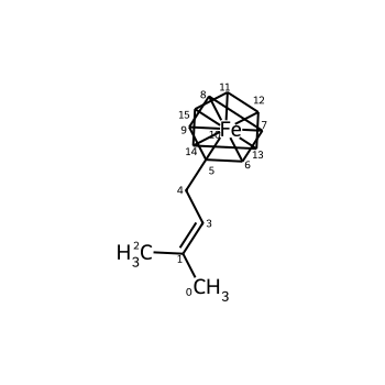 CC(C)=CC[C]12[CH]3[CH]4[CH]5[CH]1[Fe]45321678[CH]2[CH]1[CH]6[CH]7[CH]28